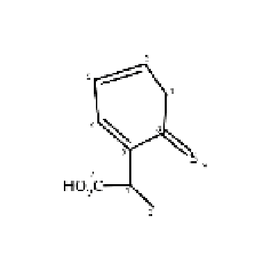 CC(C(=O)O)C1=CC=CCC1=S